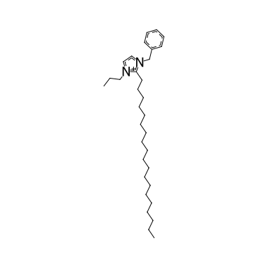 CCCCCCCCCCCCCCCCCCCc1n(Cc2ccccc2)cc[n+]1CCC